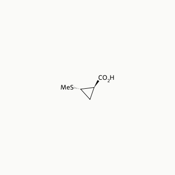 CS[C@H]1C[C@@H]1C(=O)O